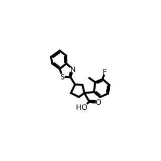 Cc1c(F)cccc1C1(C(=O)O)CCC(c2nc3ccccc3s2)C1